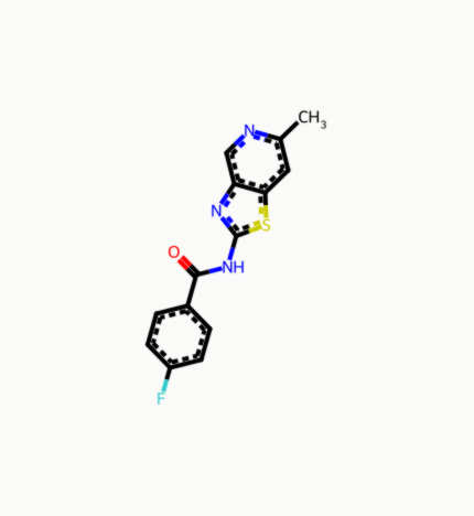 Cc1cc2sc(NC(=O)c3ccc(F)cc3)nc2cn1